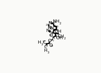 C=CC1(O)[C@H](O)[C@@H](COC(=O)C(C)C)O[C@@]1(C#N)c1ccc2c(N)ncnn12